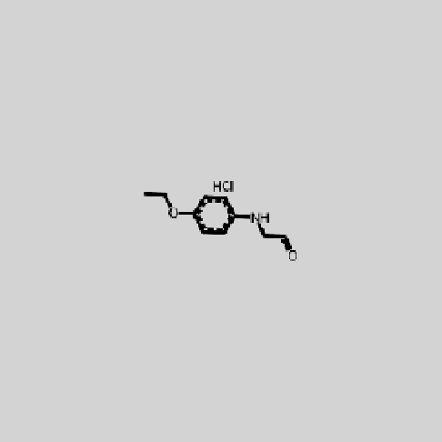 CCOc1ccc(NCC=O)cc1.Cl